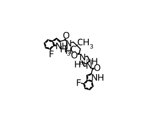 CC(C)(CNC(=O)c1cc2cccc(F)c2[nH]1)CC(=O)N1C[C@@H]2C[C@H]1CN2C(=O)c1cc2c(F)cccc2[nH]1